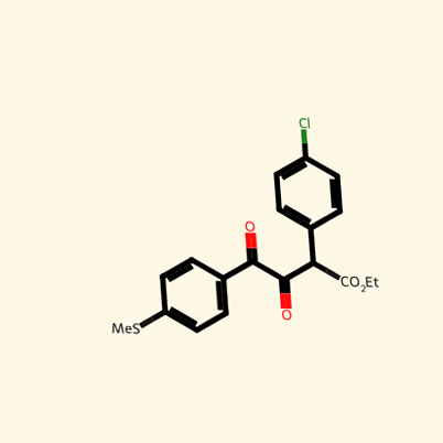 CCOC(=O)C(C(=O)C(=O)c1ccc(SC)cc1)c1ccc(Cl)cc1